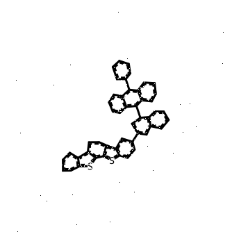 c1ccc(-c2c3ccccc3c(-c3cc(-c4ccc5sc6c(ccc7c8ccccc8sc76)c5c4)cc4ccccc34)c3ccccc23)cc1